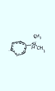 C[SiH](C)c1c[c][c]cc1